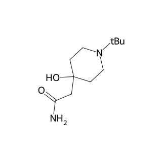 CC(C)(C)N1CCC(O)(CC(N)=O)CC1